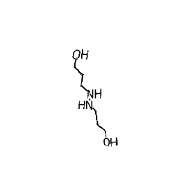 OCCCNNCCCO